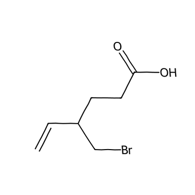 C=CC(CBr)CCC(=O)O